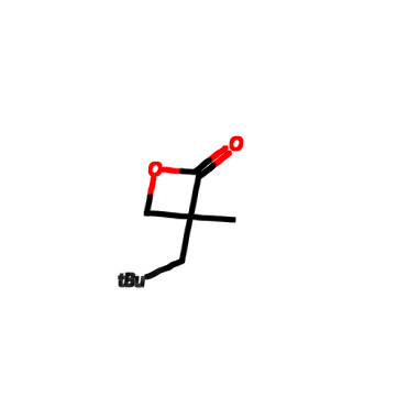 CC(C)(C)CC1(C)COC1=O